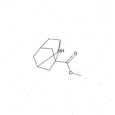 COC(=O)C12CC3CC(CC(C3)N1)C2